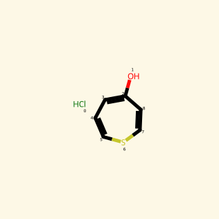 Cl.OC1=CC=CSC=C1